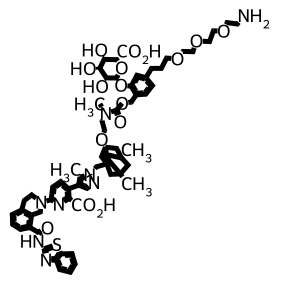 Cc1c(-c2ccc(N3CCc4cccc(C(=O)Nc5nc6ccccc6s5)c4C3)nc2C(=O)O)cnn1CC12CC3(C)CC(C)(C1)CC(OCCN(C)C(=O)OCc1ccc(CCCOCCOCCOCCN)cc1O[C@@H]1O[C@H](C(=O)O)[C@@H](O)[C@H](O)[C@H]1O)(C3)C2